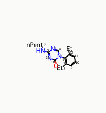 CCCCCNc1ncn(-c2c(CC)cccc2CC)c(=O)n1